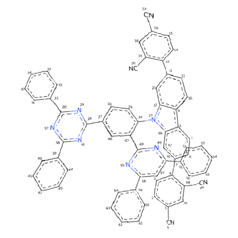 N#Cc1ccc(-c2ccc3c4ccc(-c5ccc(C#N)cc5C#N)cc4n(-c4ccc(-c5nc(-c6ccccc6)nc(-c6ccccc6)n5)cc4-c4nc(-c5ccccc5)cc(-c5ccccc5)n4)c3c2)c(C#N)c1